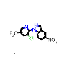 O=[N+]([O-])c1ccc2c(cnn2-c2ncc(C(F)(F)F)cc2Cl)c1